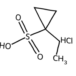 CCC1(S(=O)(=O)O)CC1.Cl